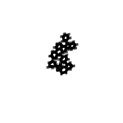 c1ccc(-c2nc3c(ccc4cccc(-c5ccc(N(c6ccc7c(c6)c6ccccc6n7-c6ccccc6)c6ccccc6-c6ccccc6)cc5)c43)o2)cc1